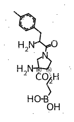 Cc1ccc(CC(N)C(=O)N2C[C@H](CCCB(O)O)[C@](N)(C(=O)O)C2)cc1